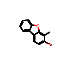 Cc1c(Br)ccc2c1oc1ccccc12